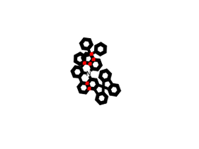 c1ccc(-c2cccc(-c3ccccc3)c2N(c2ccc3c(c2)C2(c4ccccc4-c4ccccc42)c2ccccc2-3)c2cccc3c2-c2ccccc2C3(c2ccccc2)c2ccccc2)cc1